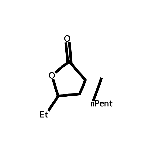 CCC1CCC(=O)O1.CCCCCC